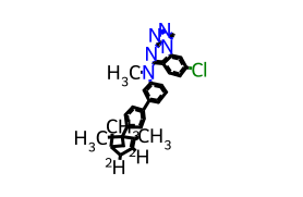 [2H]C1=C(C)C2(c3ccc(-c4cccc(N(C)c5nc6nncn6c6cc(Cl)ccc56)c4)cc3)CC(C1[2H])C2(C)C